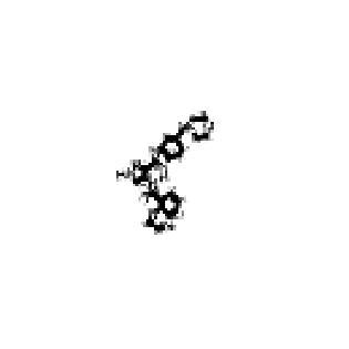 O=C(Nc1c[nH]nc1-c1nc2c([nH]1)CCC(CN1CCOCC1)=C2)c1cccc2nccnc12